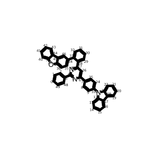 c1ccc(-c2nc(-c3ccc(-n4c5ccccc5c5ccccc54)cc3)cc(-c3ccccc3-c3ccc4oc5ccccc5c4c3)n2)cc1